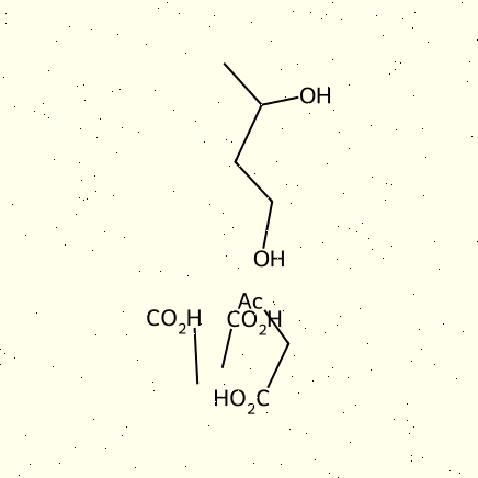 CC(=O)CC(=O)O.CC(=O)O.CC(=O)O.CC(O)CCO